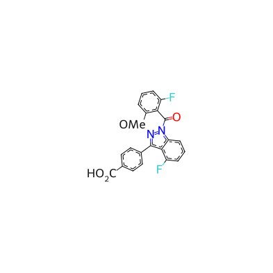 COc1cccc(F)c1C(=O)n1nc(-c2ccc(C(=O)O)cc2)c2c(F)cccc21